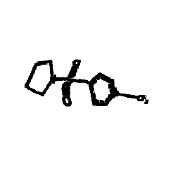 O=S(=O)(c1ccc(C(F)(F)F)cc1)N1CCCC1